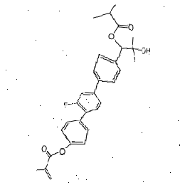 C=C(C)C(=O)Oc1ccc(-c2ccc(-c3ccc(C(OC(=O)C(C)C)C(C)(C)O)cc3)cc2F)cc1